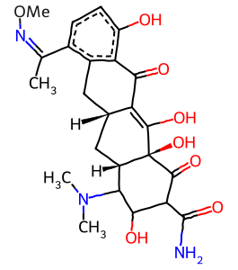 CO/N=C(/C)c1ccc(O)c2c1C[C@H]1C[C@H]3C(N(C)C)C(O)C(C(N)=O)C(=O)[C@@]3(O)C(O)=C1C2=O